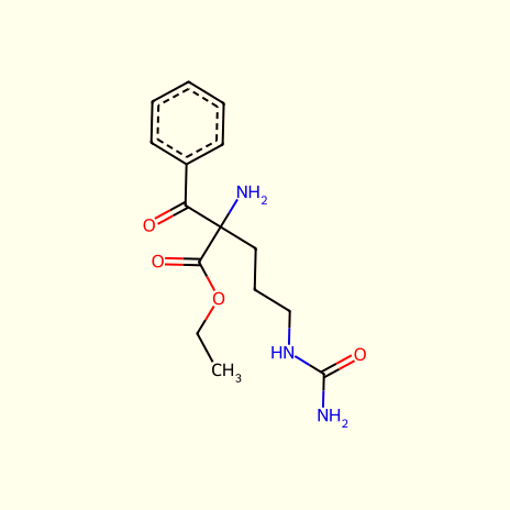 CCOC(=O)C(N)(CCCNC(N)=O)C(=O)c1ccccc1